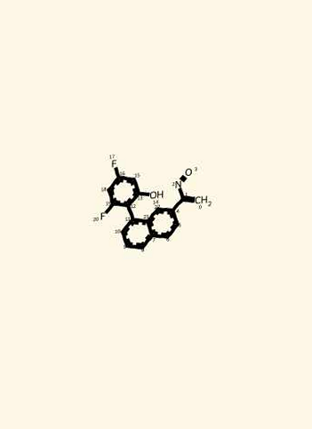 C=C(N=O)c1ccc2cccc(-c3c(O)cc(F)cc3F)c2c1